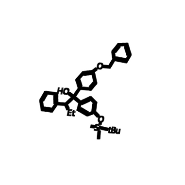 CCC(c1ccccc1)C(O)(c1ccc(OCc2ccccc2)cc1)c1ccc(O[Si](C)(C)C(C)(C)C)cc1